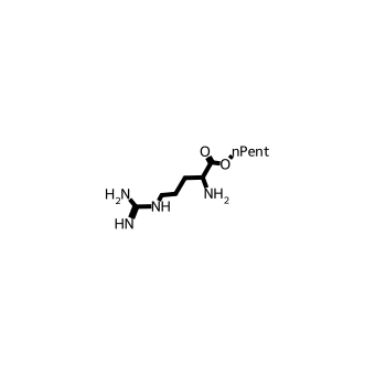 CCCCCOC(=O)C(N)CCCNC(=N)N